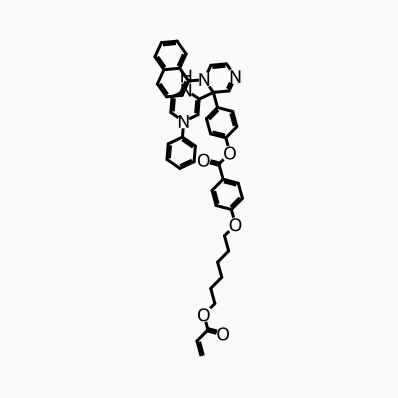 C=CC(=O)OCCCCCCOc1ccc(C(=O)Oc2ccc(C3(C4=CN(c5ccccc5)C=CN4)C=NC=CN3c3cccc4ccccc34)cc2)cc1